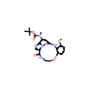 COc1cccc2c1Nc1cc(N(C)C(=O)OC(C)(C)C)c3ncc(n3n1)C(=O)NCCOC2